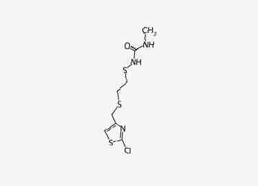 CNC(=O)NSCCSCc1csc(Cl)n1